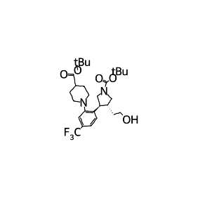 CC(C)(C)OC(=O)C1CCN(c2cc(C(F)(F)F)ccc2[C@H]2CN(C(=O)OC(C)(C)C)C[C@@H]2CCO)CC1